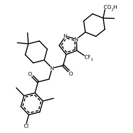 Cc1cc(Cl)cc(C)c1C(=O)CN(C(=O)c1cnn(C2CCC(C)(C(=O)O)CC2)c1C(F)(F)F)C1CCC(C)(C)CC1